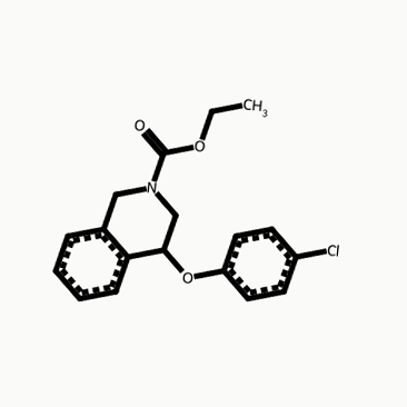 CCOC(=O)N1Cc2ccccc2C(Oc2ccc(Cl)cc2)C1